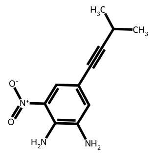 CC(C)C#Cc1cc(N)c(N)c([N+](=O)[O-])c1